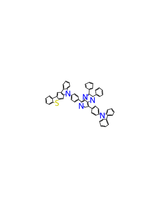 c1ccc(-c2nc3c(-c4ccc(-n5c6ccccc6c6ccccc65)cc4)cnc(-c4ccc(-n5c6ccccc6c6cc7c(cc65)sc5ccccc57)cc4)c3nc2-c2ccccc2)cc1